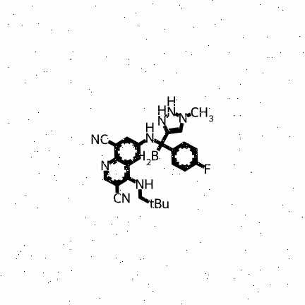 BC(Nc1cc(C#N)c2ncc(C#N)c(NCC(C)(C)C)c2c1)(C1=CN(C)NN1)c1ccc(F)cc1